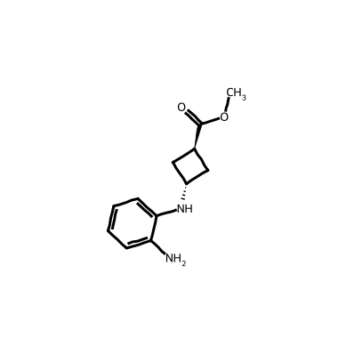 COC(=O)[C@H]1C[C@H](Nc2ccccc2N)C1